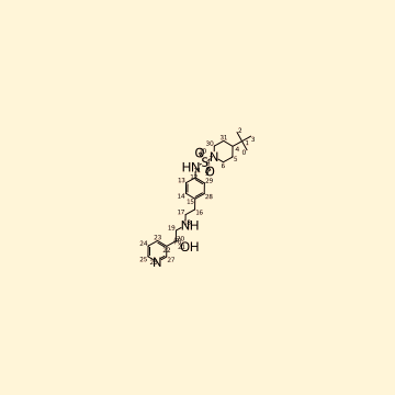 CC(C)(C)C1CCN(S(=O)(=O)Nc2ccc(CCNC[C@H](O)c3cccnc3)cc2)CC1